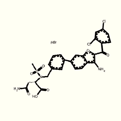 Br.CS(=O)(=O)N(Cc1cccc(-c2ccc3c(N)c(C(=O)c4ccc(Cl)cc4Cl)oc3c2)c1)[C@@H](CC(N)=O)C(=O)O